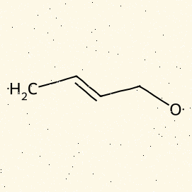 [CH2]C=CC[O]